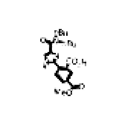 CCCCN(CCCC)C(=O)c1cn(C)c(-c2ccc(C(=O)OC)cc2C(=O)O)n1